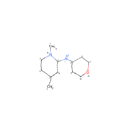 CC1CCN(C)C(NC2CCOCC2)C1